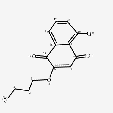 CC(C)CCCOC1=CC(=O)c2c(Cl)cccc2C1=O